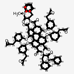 CN(C(=O)C(Cc1ccccc1)N1C(=O)c2cc(Oc3cccc(CC4CO4)c3)c3c4c(Oc5cccc(CC6CO6)c5)cc5c6c(cc(Oc7cccc(CC8CO8)c7)c(c7c(Oc8cccc(CC9CO9)c8)cc(c2c37)C1=O)c64)C(=O)N(C(Cc1ccccc1)C(=O)N(C)c1ccccc1)C5=O)c1ccccc1